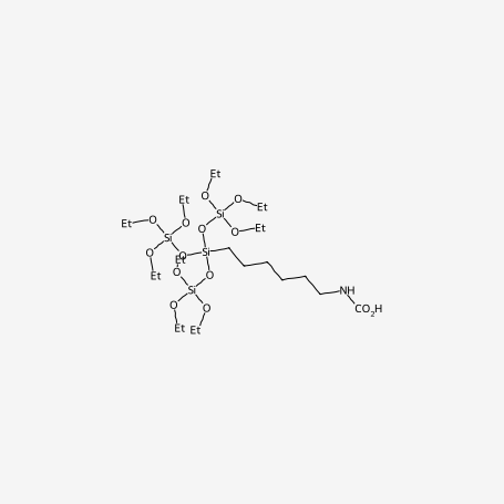 CCO[Si](OCC)(OCC)O[Si](CCCCCCNC(=O)O)(O[Si](OCC)(OCC)OCC)O[Si](OCC)(OCC)OCC